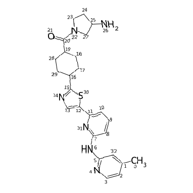 Cc1ccnc(Nc2cccc(-c3cnc(C4CCC(C(=O)N5CCC(N)C5)CC4)s3)n2)c1